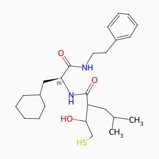 CC(C)CC(C(=O)N[C@@H](CC1CCCCC1)C(=O)NCCc1ccccc1)C(O)CS